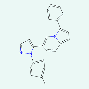 Cc1ccc(-n2nccc2-c2ccc3ccc(-c4ccccc4)n3c2)cc1